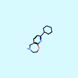 c1cc2c(nc1C1CCCCC1)OCCNC2